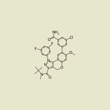 COc1cc2c(cc1-c1cc(Cl)cc(C(N)=O)c1)-c1c(c(C(=O)N(C)C(C)(C)C)nn1-c1cc(F)cc(F)c1)CO2